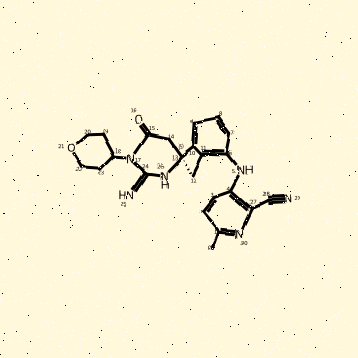 Cc1ccc(Nc2cccc3c2C[C@]32CC(=O)N(C3CCOCC3)C(=N)N2)c(C#N)n1